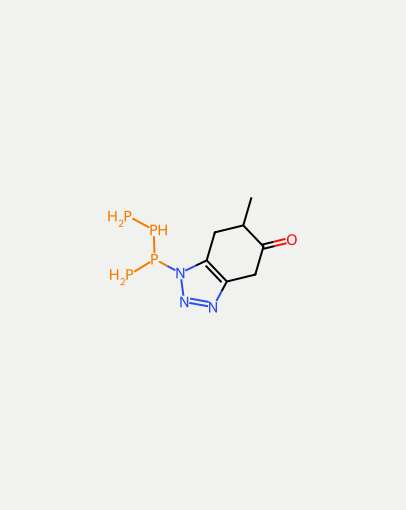 CC1Cc2c(nnn2P(P)PP)CC1=O